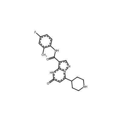 Cc1cc(F)ccc1NC(=O)c1cnn2c(C3CCNCC3)cc(=O)[nH]c12